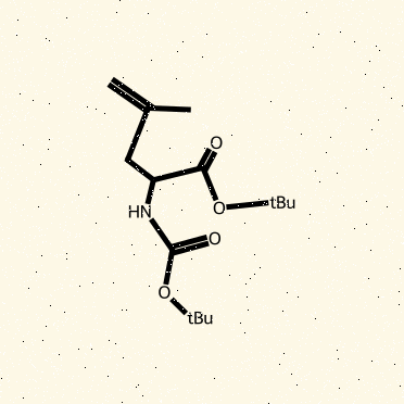 C=C(C)CC(NC(=O)OC(C)(C)C)C(=O)OC(C)(C)C